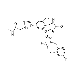 CNC(=O)Cn1cc(-c2ccc3c(c2)CCC32NC(=O)N(CC(=O)N3Cc4ccc(F)cc4CC[C@H]3O)C2=O)cn1